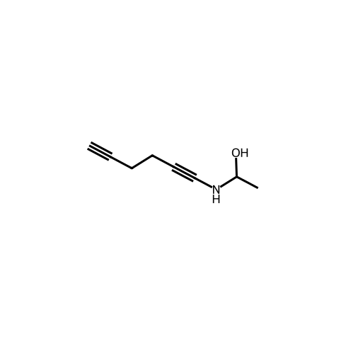 C#CCCC#CNC(C)O